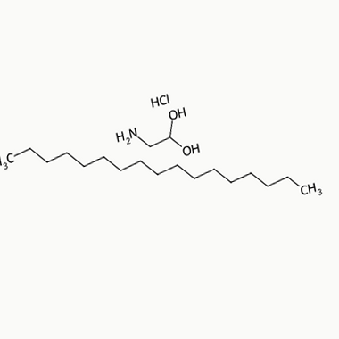 CCCCCCCCCCCCCCCCC.Cl.NCC(O)O